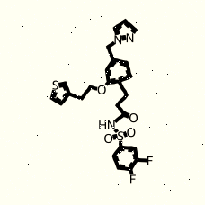 O=C(CCc1ccc(Cn2cccn2)cc1OCCc1ccsc1)NS(=O)(=O)c1ccc(F)c(F)c1